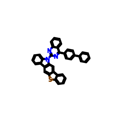 c1ccc(-c2ccc(-c3nc(-n4c5ccccc5c5cc6sc7ccccc7c6cc54)nc4ccccc34)cc2)cc1